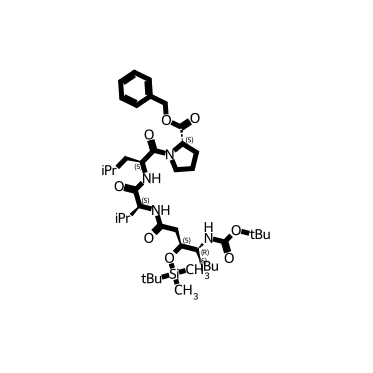 CC[C@H](C)[C@@H](NC(=O)OC(C)(C)C)[C@H](CC(=O)N[C@H](C(=O)N[C@@H](CC(C)C)C(=O)N1CCC[C@H]1C(=O)OCc1ccccc1)C(C)C)O[Si](C)(C)C(C)(C)C